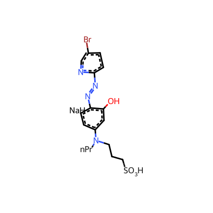 CCCN(CCCS(=O)(=O)O)c1ccc(N=Nc2ccc(Br)cn2)c(O)c1.[NaH]